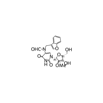 CO[C@@H]1[C@@H](O)[C@@H](CO)O[C@H]1n1cc(N(C=O)Cc2coc3ccccc23)c(=O)[nH]c1=O